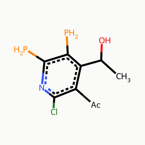 CC(=O)c1c(Cl)nc(P)c(P)c1C(C)O